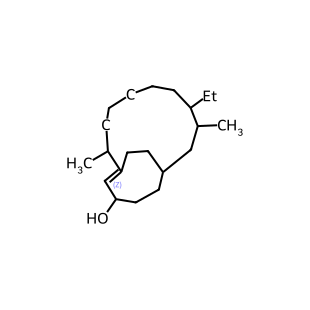 CCC1CCCCCC(C)/C2=C\C(O)CCC(CC2)CC1C